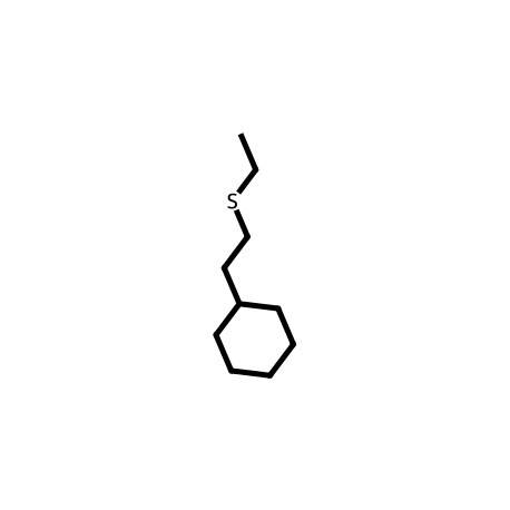 CCSCCC1CCCCC1